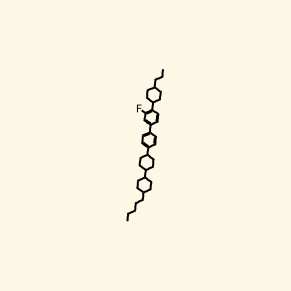 CCCCCC1CCC(C2CCC(c3ccc(-c4ccc(C5CCC(CCC)CC5)c(F)c4)cc3)CC2)CC1